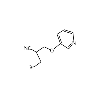 N#CC(CBr)COc1cccnc1